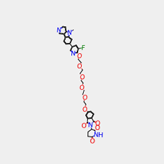 Cn1c2ccncc2c2ccc(-c3cnc(OCCOCCOCCOCCOCCOc4ccc5c(c4)C(=O)N(C4CCC(=O)NC4=O)C5=O)c(F)c3)cc21